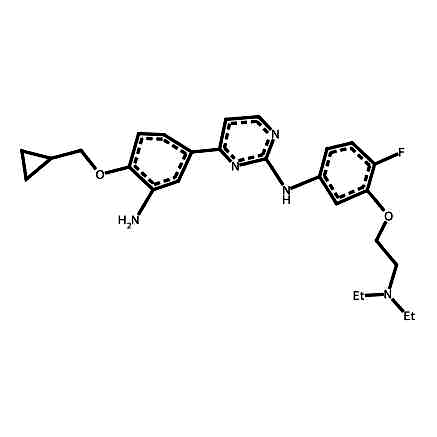 CCN(CC)CCOc1cc(Nc2nccc(-c3ccc(OCC4CC4)c(N)c3)n2)ccc1F